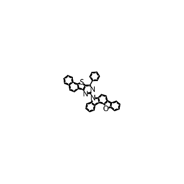 c1ccc(-c2nc(-n3c4ccccc4c4c5oc6ccccc6c5ccc43)nc3c2sc2c4ccccc4ccc32)cc1